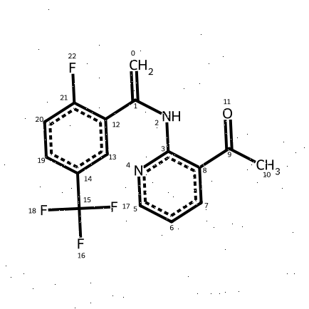 C=C(Nc1ncccc1C(C)=O)c1cc(C(F)(F)F)ccc1F